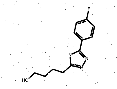 OCCCCC1=NN=C(c2ccc(F)cc2)[N]1